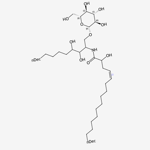 CCCCCCCCCCCCCCCCCCC/C=C\CC(O)C(=O)NC(CO[C@@H]1O[C@H](CO)[C@@H](O)[C@H](O)[C@H]1O)C(O)C(O)CCCCCCCCCCCCCC